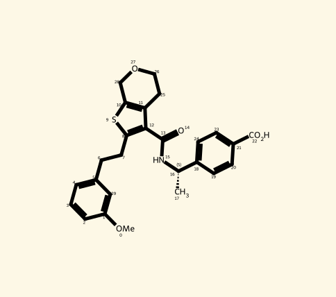 COc1cccc(CCc2sc3c(c2C(=O)N[C@@H](C)c2ccc(C(=O)O)cc2)CCOC3)c1